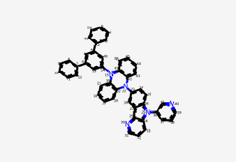 c1ccc(-c2cc(-c3ccccc3)cc(N3c4ccccc4N(c4ccc5c(c4)c4ncccc4n5-c4cccnc4)c4ccccc43)c2)cc1